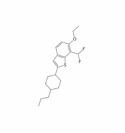 CCCC1CCC(c2cc3ccc(OCC)c(C(F)F)c3s2)CC1